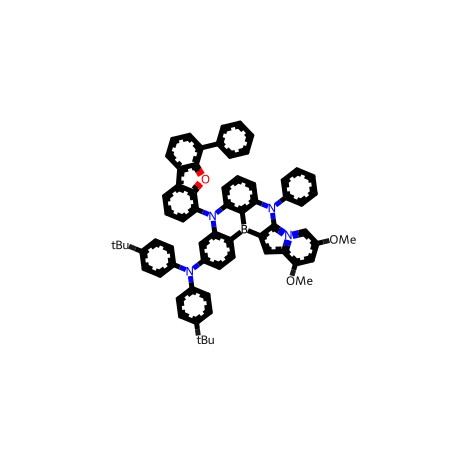 COc1cc(OC)c2cc3c(n2c1)N(c1ccccc1)c1cccc2c1B3c1ccc(N(c3ccc(C(C)(C)C)cc3)c3ccc(C(C)(C)C)cc3)cc1N2c1cccc2c1oc1c(-c3ccccc3)cccc12